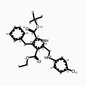 CCOC(=O)c1c(CNc2ccc(Cl)cc2)[nH]c(C(=O)OC(C)(C)C)c1Cc1ccccc1